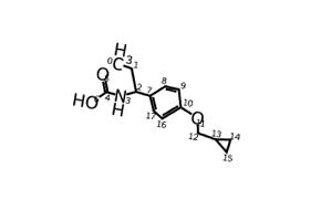 CCC(NC(=O)O)c1ccc(OCC2CC2)cc1